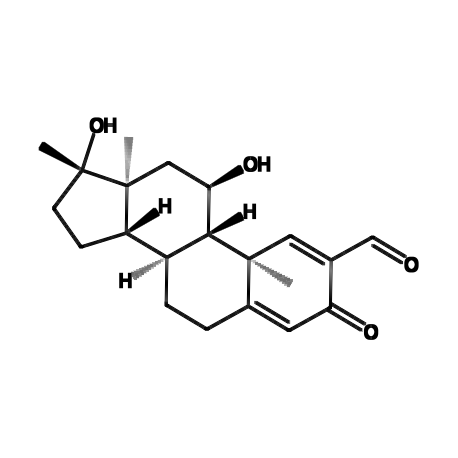 C[C@]12C=C(C=O)C(=O)C=C1CC[C@@H]1[C@@H]2[C@H](O)C[C@@]2(C)[C@H]1CC[C@]2(C)O